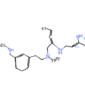 CCC=C=C(CN(CCC)CCC1=CCCC(CNCC)=C1)NC/C=C(/C)N